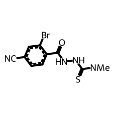 CNC(=S)NNC(=O)c1ccc(C#N)cc1Br